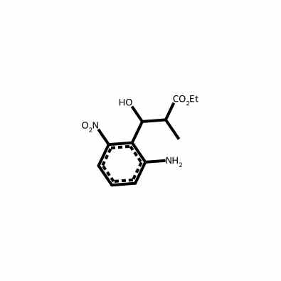 CCOC(=O)C(C)C(O)c1c(N)cccc1[N+](=O)[O-]